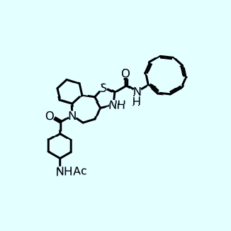 CC(=O)NC1CCC(C(=O)N2CCC3NC(C(=O)Nc4ccccccccc4)SC3C3CCCCC32)CC1